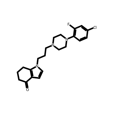 O=C1CCCc2c1ccn2CCCN1CCN(c2ccc(Cl)cc2F)CC1